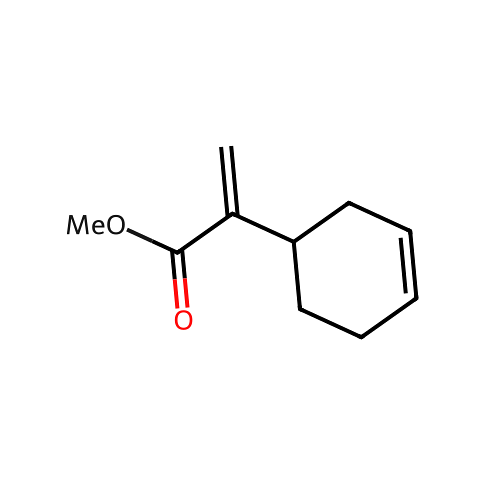 C=C(C(=O)OC)C1CC=CCC1